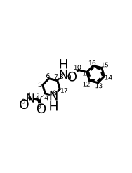 O=NC(=O)[C@@H]1CC[C@@H](NOCc2ccccc2)CN1